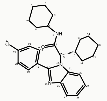 O=C(NC1CCCCC1)[C@H](C1CCCCC1)n1c(-c2ccc(Cl)cc2)nc2ccccc21